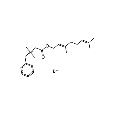 CC(C)=CCC/C(C)=C/COC(=O)C[N+](C)(C)Cc1ccccc1.[Br-]